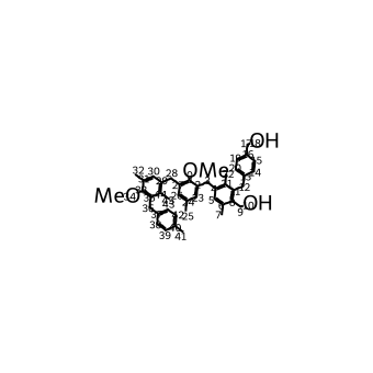 COc1c(Cc2cc(C)c(CO)c(Cc3ccc(CO)cc3)c2C)cc(C)cc1Cc1cc(C)c(OC)c(Cc2ccc(C)cc2)c1C